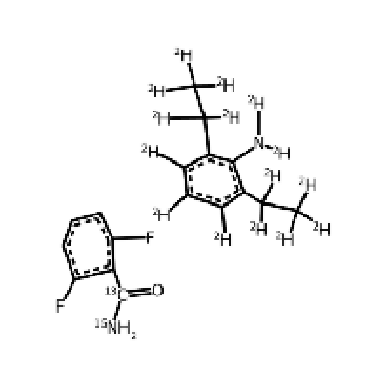 [15NH2][13C](=O)c1c(F)cccc1F.[2H]c1c([2H])c(C([2H])([2H])C([2H])([2H])[2H])c(N([2H])[2H])c(C([2H])([2H])C([2H])([2H])[2H])c1[2H]